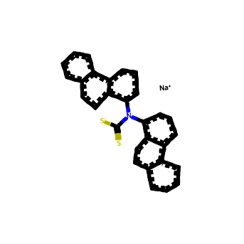 S=C([S-])N(c1cccc2c1ccc1ccccc12)c1cccc2c1ccc1ccccc12.[Na+]